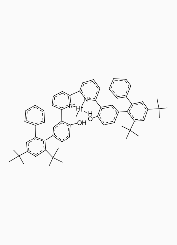 CC(C)(C)c1cc(-c2ccccc2)c(-c2ccc(O)c(-c3cccc4[n+]3[Hf]([CH3])([CH3])[n+]3c(-c5cc(-c6c(-c7ccccc7)cc(C(C)(C)C)cc6C(C)(C)C)ccc5O)cccc3-4)c2)c(C(C)(C)C)c1